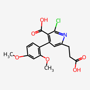 COc1ccc(-c2cc(CCC(=O)O)nc(Cl)c2C(=O)O)c(OC)c1